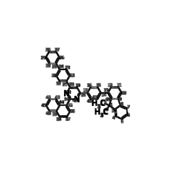 CC1(C)c2ccccc2-c2cccc(-c3ccc(-c4cc(-c5ccc(-c6ccccc6)cc5)nc(-c5cccc6ccccc56)n4)cc3)c21